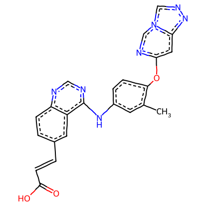 Cc1cc(Nc2ncnc3ccc(/C=C/C(=O)O)cc23)ccc1Oc1cc2nncn2cn1